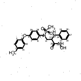 Cc1ccc(Oc2ccc(N(CC(Nc3ccccc3)C(=O)NO)S(C)(=O)=O)cc2)cc1